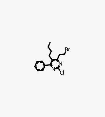 CCCCc1c(CCBr)nc(Cl)nc1-c1ccccc1